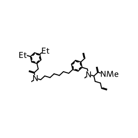 C=CCCC(C(=C)NC)N(C)Cc1cc(CCCCCCCN(C)C(=C)Cc2cc(CC)cc(CC)c2)ccc1C=C